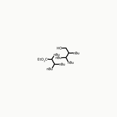 CCCCC(CCCC)C(CCCC)C(=O)OCC.CCCCC(CO)C(CCCC)CCCC